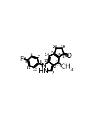 C[C@H]1C2=CNN(c3ccc(F)cc3)C2=CC2=C1C(=O)CC2